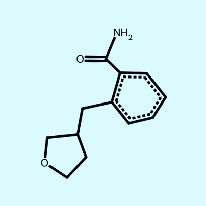 NC(=O)c1ccccc1CC1CCOC1